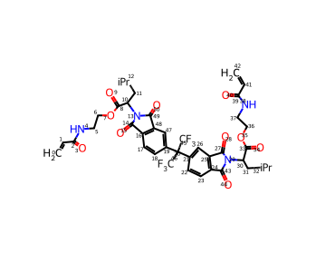 C=CC(=O)NCCOC(=O)C(CC(C)C)N1C(=O)c2ccc(C(c3ccc4c(c3)C(=O)N(C(CC(C)C)C(=O)OCCNC(=O)C=C)C4=O)(C(F)(F)F)C(F)(F)F)cc2C1=O